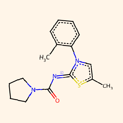 Cc1cn(-c2ccccc2C)/c(=N/C(=O)N2CCCC2)s1